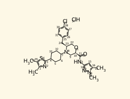 Cc1nc(C2CCC(N3C[C@H](C(=O)Nc4cc(C)n(C)n4)OC[C@@H]3Cc3ccc(Cl)cc3)CC2)sc1C.Cl